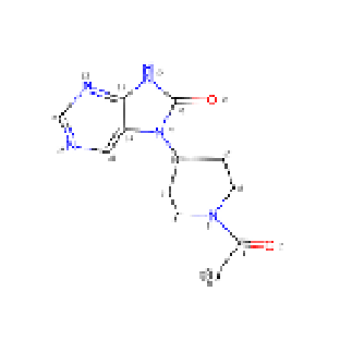 CC(C)(C)C(=O)N1CCC(n2c(=O)[nH]c3ncncc32)CC1